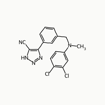 CN(Cc1cccc(-c2nn[nH]c2C#N)c1)c1ccc(Cl)c(Cl)c1